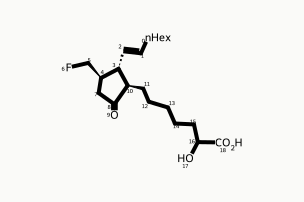 CCCCCCC=C[C@H]1[C@H](CF)CC(=O)[C@@H]1CCCCCC(O)C(=O)O